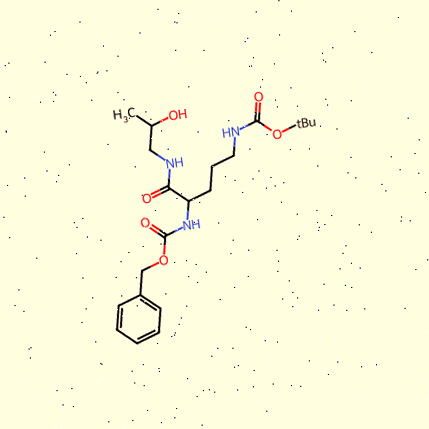 CC(O)CNC(=O)C(CCCNC(=O)OC(C)(C)C)NC(=O)OCc1ccccc1